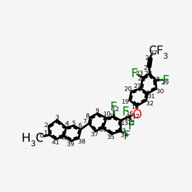 Cc1ccc2cc(-c3ccc4c(F)c(C(F)(F)Oc5ccc6c(F)c(C#CC(F)(F)F)c(F)cc6c5)c(F)cc4c3)ccc2c1